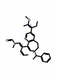 C/C=C\C(=C/N(C)C=O)C1=C[C@H](C(C)c2ccccc2)CCc2cc(/C(CC)=C(\C)OC)cnc21